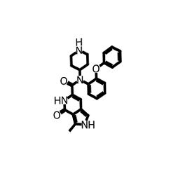 Cc1[nH]cc2cc(C(=O)N(c3ccccc3Oc3ccccc3)C3CCNCC3)[nH]c(=O)c12